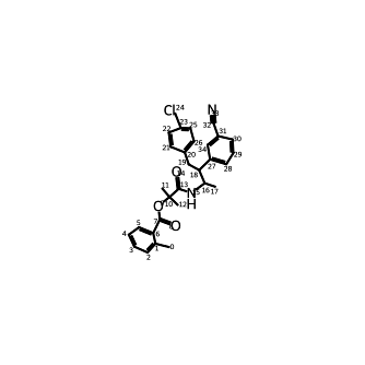 Cc1ccccc1C(=O)OC(C)(C)C(=O)NC(C)C(Cc1ccc(Cl)cc1)c1cccc(C#N)c1